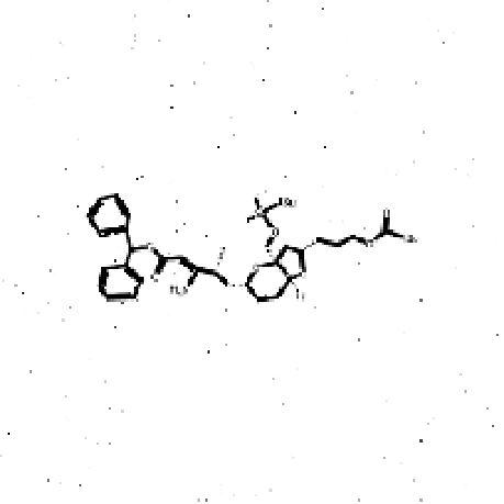 C[C@H](C[C@H]1CC[C@@H]2O[C@@H](CCCOC(=O)C(C)(C)C)C[C@]2(CO[Si](C)(C)C(C)(C)C)O1)/C(N)=C/C(=O)OC(c1ccccc1)c1ccccc1